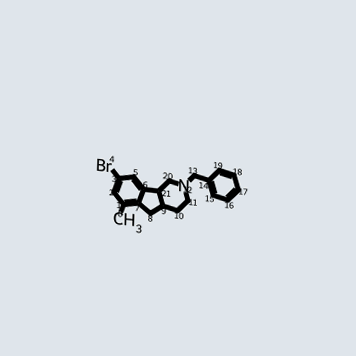 Cc1cc(Br)cc2c1CC1CCN(Cc3ccccc3)CC21